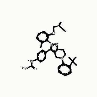 Cc1cccc(OCC(C)C)c1-n1nc2c(c1-c1ccc(NC(N)=O)cc1)CN(c1ccccc1C(C)(C)C)CC2